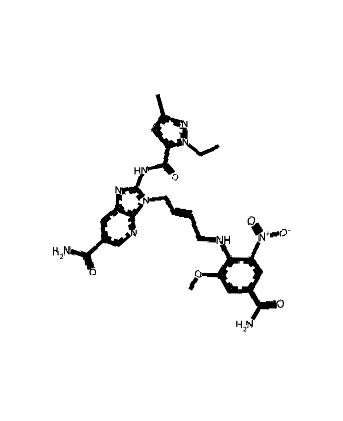 CCn1nc(C)cc1C(=O)Nc1nc2cc(C(N)=O)cnc2n1C/C=C/CNc1c(OC)cc(C(N)=O)cc1[N+](=O)[O-]